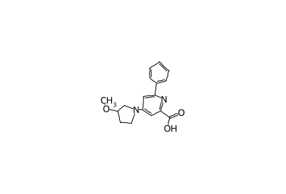 COC1CCN(c2cc(C(=O)O)nc(-c3ccccc3)c2)C1